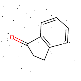 O=C1CCc2[c]cccc21